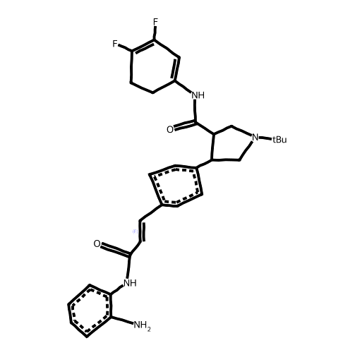 CC(C)(C)N1CC(C(=O)NC2=CC(F)=C(F)CC2)C(c2ccc(/C=C/C(=O)Nc3ccccc3N)cc2)C1